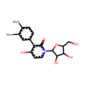 COc1ccc(-c2c(O)ccn(C3OC(CO)C(O)C3O)c2=O)cc1OC